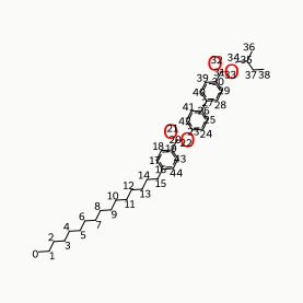 CCCCCCCCCCCCCCCCc1ccc(C(=O)Oc2ccc(-c3ccc(C(=O)OCC(C)CC)cc3)cc2)cc1